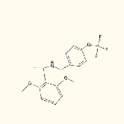 [CH2]C(NCc1ccc(OC(F)(F)F)cc1)c1c(OC)cccc1OC